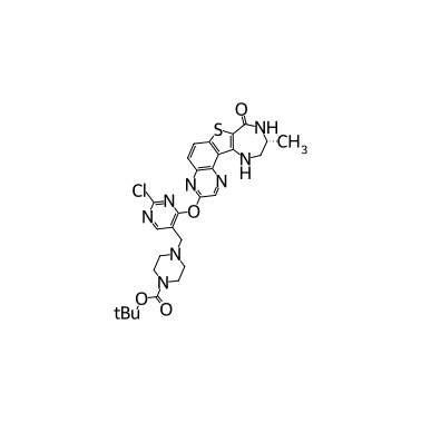 C[C@@H]1CNc2c(sc3ccc4nc(Oc5nc(Cl)ncc5CN5CCN(C(=O)OC(C)(C)C)CC5)cnc4c23)C(=O)N1